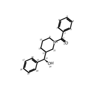 O=C(c1ccccc1)N1CCCC([C@@H](O)c2ccccc2)C1